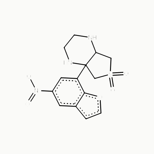 O=[N+]([O-])c1cc(C23CS(=O)(=O)CC2NCCN3)c2occc2c1